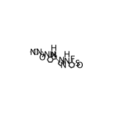 CN1CCN(CC(=O)Nc2cccc3c(-c4ccnc(Nc5cccc([S]=O)c5F)n4)c[nH]c23)CC1